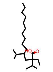 CCCCCCCCCCC(CC(CC)(C(=O)O)C(C)C)C(C)C